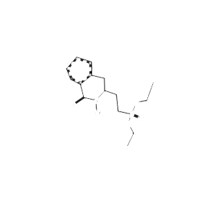 CCOP(=O)(CCC1Cc2ccccc2C(=O)N1O)OCC